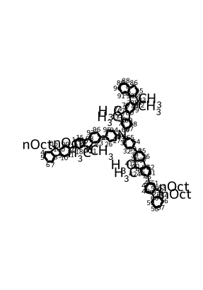 CCCCCCCCC1(CCCCCCCC)c2ccccc2-c2ccc(-c3ccc4c(c3)C(C)(C)c3cc(-c5ccc(N(c6ccc(-c7ccc8c(c7)C(C)(C)c7cc(-c9ccc%10c(c9)C(CCCCCCCC)(CCCCCCCC)c9ccccc9-%10)ccc7-8)cc6)c6ccc7c(c6)C(C)(C)c6cc8c(cc6-7)C(C)(C)c6ccc7ccccc7c6-8)cc5)ccc3-4)cc21